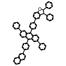 c1ccc(-c2ccc3c(-c4ccc(-c5ccc6ccccc6c5)cc4)c4cc(-c5ccccc5)ccc4c(-c4ccc(-c5ccc6c(c5)C(c5ccccc5)C(c5ccccc5)O6)cc4)c3c2)cc1